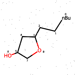 CCCCCCC1CC(O)CO1